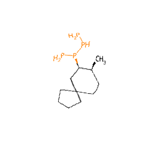 C[C@H]1CCC2(CCCC2)C[C@H]1P(P)PP